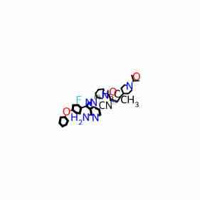 CC(C)(/C=C(/C#N)C(=O)N1CCC[C@@H](n2nc(-c3ccc(Oc4ccccc4)cc3F)c3c(N)nccc32)C1)C1CCN(C2COC2)CC1